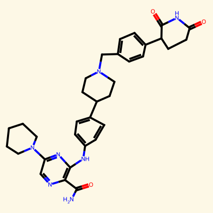 NC(=O)c1ncc(N2CCCCC2)nc1Nc1ccc(C2CCN(Cc3ccc(C4CCC(=O)NC4=O)cc3)CC2)cc1